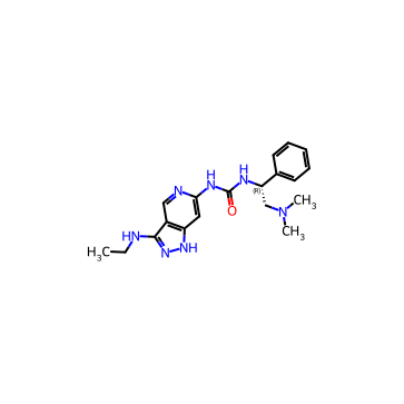 CCNc1n[nH]c2cc(NC(=O)N[C@@H](CN(C)C)c3ccccc3)ncc12